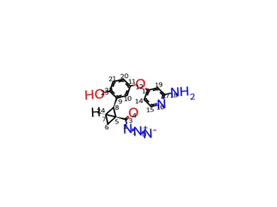 [N-]=[N+]=NC(=O)[C@@]12C[C@H]1[C@H]2c1cc(Oc2ccnc(N)c2)ccc1O